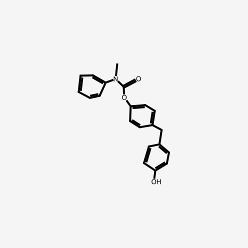 CN(C(=O)Oc1ccc(Cc2ccc(O)cc2)cc1)c1ccccc1